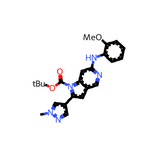 COc1ccccc1Nc1cc2c(cn1)cc(-c1cnn(C)c1)n2C(=O)OC(C)(C)C